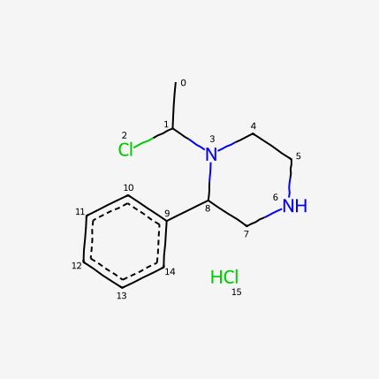 CC(Cl)N1CCNCC1c1ccccc1.Cl